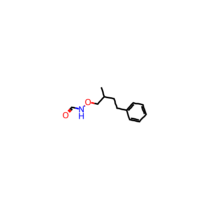 CC(CCc1ccccc1)CONC=O